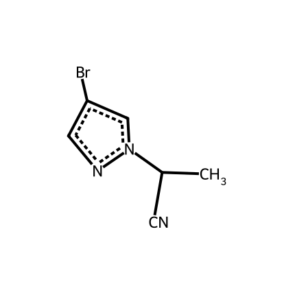 CC(C#N)n1cc(Br)cn1